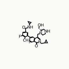 Cc1c(F)cc(C(=O)NC2CC2)cc1-c1ccc2c(=O)n(CC3CC3)cc(CN3CCNC[C@H]3CO)c2c1